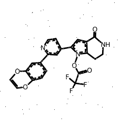 O=C1NCCc2c1cc(-c1ccnc(-c3ccc4c(c3)OC=CO4)c1)n2OC(=O)C(F)(F)F